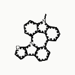 Cn1c2cccc3c4cccc5c6ccoc6n(c6cccc1c6c32)c45